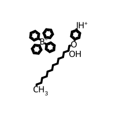 CCCCCCCCCCCCC(O)COc1ccc([IH+])cc1.c1ccc([B-](c2ccccc2)(c2ccccc2)c2ccccc2)cc1